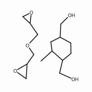 C(OCC1CO1)C1CO1.CC1CC(CO)CCC1CO